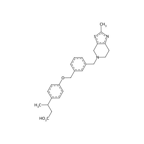 Cc1nc2c(s1)CN(Cc1cccc(COc3ccc(C(C)CC(=O)O)cc3)c1)CC2